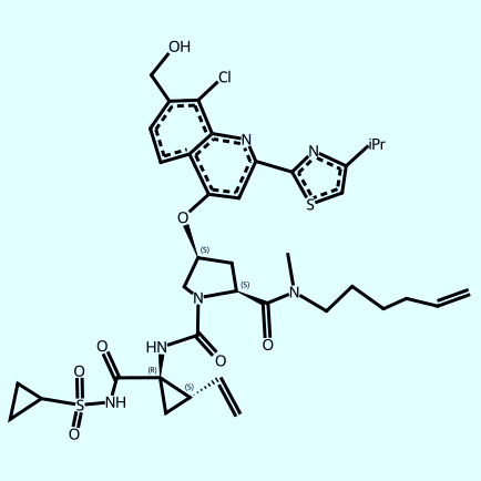 C=CCCCCN(C)C(=O)[C@@H]1C[C@H](Oc2cc(-c3nc(C(C)C)cs3)nc3c(Cl)c(CO)ccc23)CN1C(=O)N[C@]1(C(=O)NS(=O)(=O)C2CC2)C[C@H]1C=C